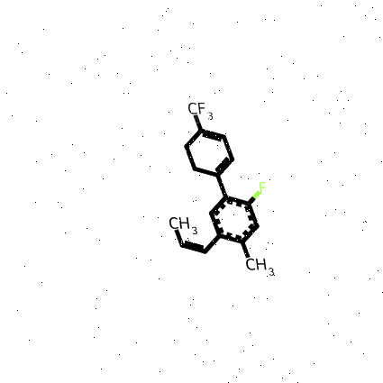 C/C=C\c1cc(C2=CC=C(C(F)(F)F)CC2)c(F)cc1C